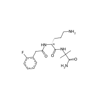 CC(C)(NC(=O)[C@@H](CCCN)NC(=O)Cc1ccccc1F)C(N)=O